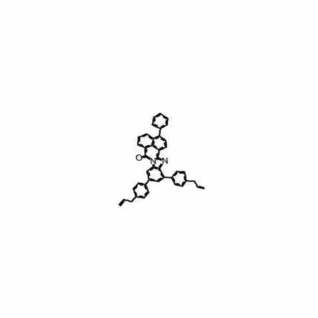 C=CCc1ccc(-c2cc(-c3ccc(CC=C)cc3)c3nc4c5ccc(-c6ccccc6)c6cccc(c(=O)n4c3c2)c65)cc1